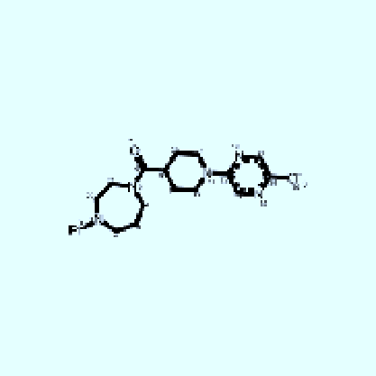 CC(C)N1CCCN(C(=O)C2CCN(c3cnc(C(F)(F)F)cn3)CC2)CC1